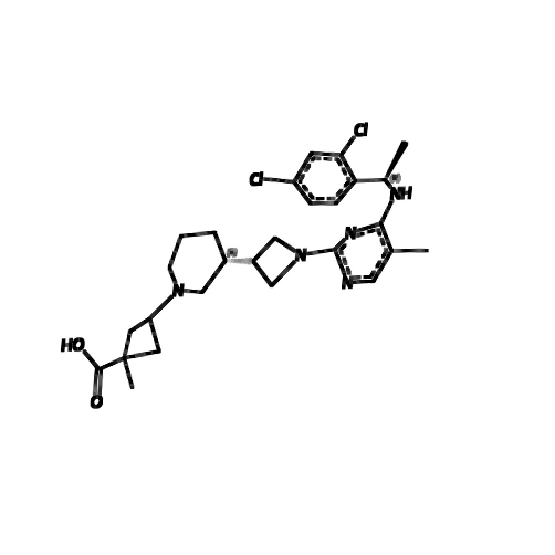 Cc1cnc(N2CC([C@H]3CCCN(C4CC(C)(C(=O)O)C4)C3)C2)nc1N[C@H](C)c1ccc(Cl)cc1Cl